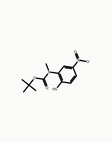 CN(C(=O)OC(C)(C)C)c1cc([N+](=O)[O-])ccc1S